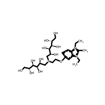 CCn1c(C)[n+](CC)c2ccc(OCCN(C[C@H](O)[C@@H](O)[C@H](O)[C@H](O)CO)C[C@H](O)[C@@H](O)[C@H](O)[C@H](O)CO)cc21